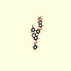 Fc1ccc([C@H]2CCc3cc(OCc4ccccc4)ccc3[C@H]2c2ccc(OC3CC4CC5(CC4C3)OCCO5)cc2)cc1